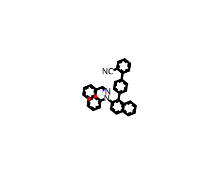 N#Cc1ccccc1-c1ccc(-c2c(N(/N=C\c3ccccc3)c3ccccc3)ccc3ccccc23)cc1